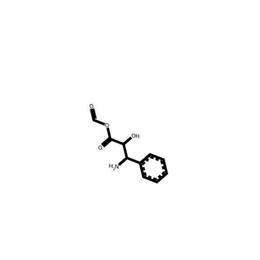 NC(c1ccccc1)C(O)C(=O)OC=O